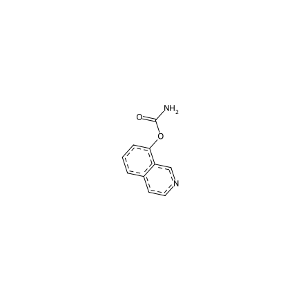 NC(=O)Oc1cccc2ccncc12